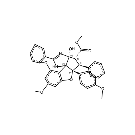 COC(=O)[C@@H]1[C@@H](c2ccccc2)[C@]2(c3ccc(OC)cc3)Oc3cc(OC)cc(OC)c3[C@@]23NC(c2ccccc2)=N[C@@]13O